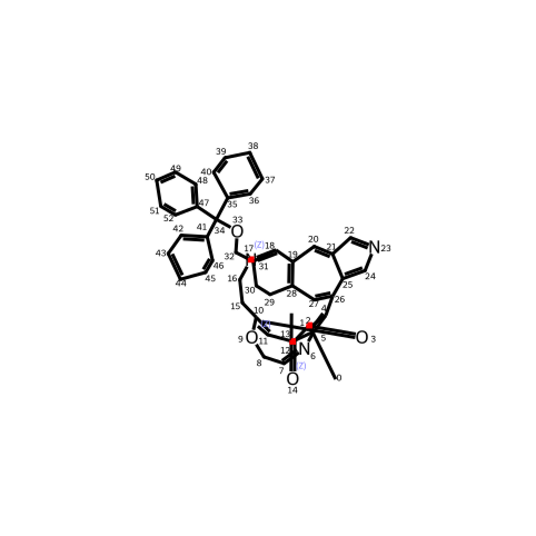 CC1C(=O)C2=C3/N=C\CO/C(=C\C3C1=O)CC/N=C1\c3cc4cncc-4c2cc3CCC1COC(c1ccccc1)(c1ccccc1)c1ccccc1